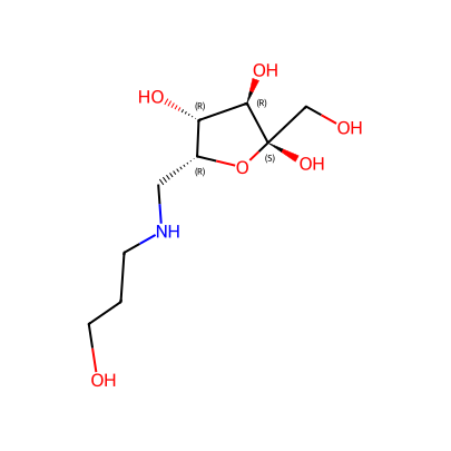 OCCCNC[C@H]1O[C@@](O)(CO)[C@H](O)[C@H]1O